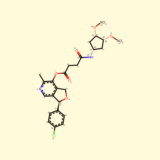 Cc1ncc2c(c1OC(=O)CCC(=O)N[C@@H]1C[C@H](O[N+](=O)[O-])[C@H](O[N+](=O)[O-])C1)CO[C@H]2c1ccc(Cl)cc1